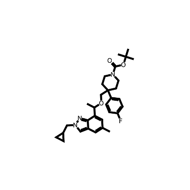 Cc1cc(C(C)OCC2(c3ccc(F)cc3)CCN(C(=O)OC(C)(C)C)CC2)c2nn(CC3CC3)cc2c1